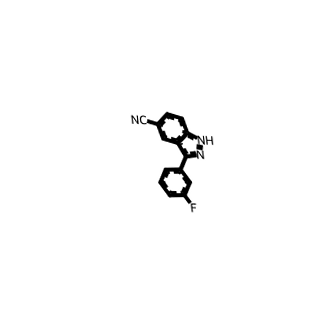 N#Cc1ccc2[nH]nc(-c3cccc(F)c3)c2c1